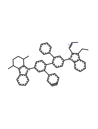 C/C=C\c1c(CC)c2ccccc2n1-c1ccc(-c2ccc(-n3c4c(c5ccccc53)C(C)CCC4C)cc2-c2cc#ccc2)c(-c2ccccc2)c1